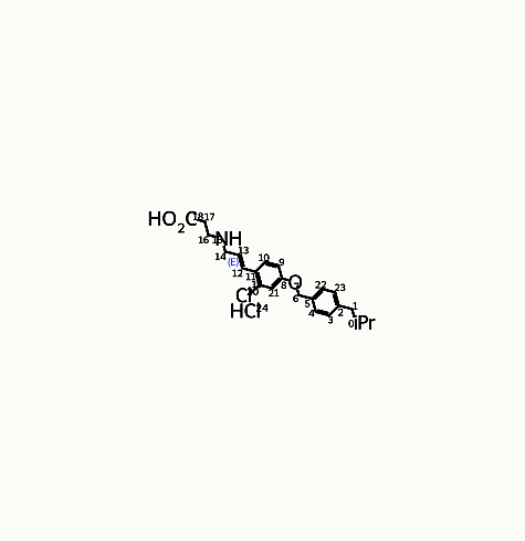 CC(C)Cc1ccc(COc2ccc(/C=C/CNCCC(=O)O)c(Cl)c2)cc1.Cl